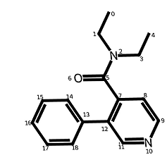 CCN(CC)C(=O)c1ccn[c]c1-c1ccccc1